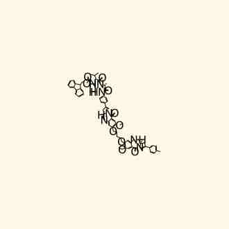 COc1cc2c(cc1OCCCOc1cc3c(cc1OC)C(=O)N1C=C(c4ccc(NC(=O)[C@H](C)NC(=O)[C@@H](NC(=O)OCC5c6ccccc6-c6ccccc65)C(C)C)cc4)C[C@H]1C=N3)N=C[C@@H]1CC(c3ccc(C)cc3)=CN1C2=O